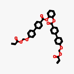 C=CC(=O)OCOc1ccc(-c2ccc(C(=O)Oc3ccccc3OC(=O)c3ccc(-c4ccc(OCOC(=O)C=C)cc4)cc3)cc2)cc1